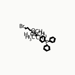 CC(C)(C)[Si](C)(C)OCCCBr.c1ccc(P(c2ccccc2)c2ccccc2)cc1